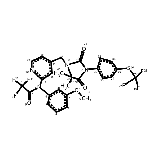 COc1cccc(N(C(=O)C(F)(F)F)c2cc(CN3C(=O)N(c4ccc(SC(F)(F)F)cc4)C(=O)C3(C)C)ccn2)c1